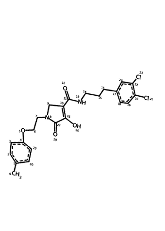 Cc1ccc(OCCN2CC(C(=O)NCCCc3ccc(Cl)c(Cl)c3)=C(O)C2=O)cc1